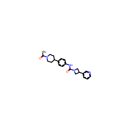 CC(C)(C)C(=O)N1CCC(c2ccc(NC(=O)N3CC(c4cccnc4)C3)cc2)CC1